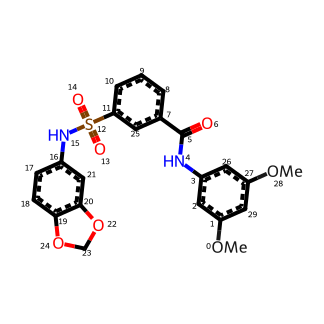 COc1cc(NC(=O)c2cccc(S(=O)(=O)Nc3ccc4c(c3)OCO4)c2)cc(OC)c1